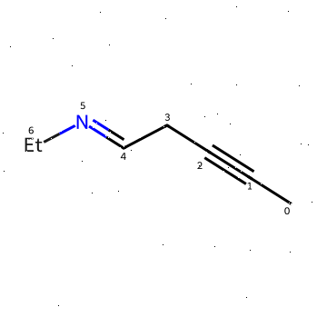 CC#CCC=NCC